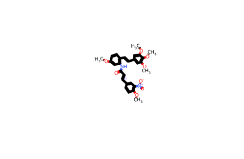 COc1ccc(C=Cc2cc(OC)c(OC)c(OC)c2)c(NC(=O)/C=C/c2ccc(OC)c([N+](=O)[O-])c2)c1